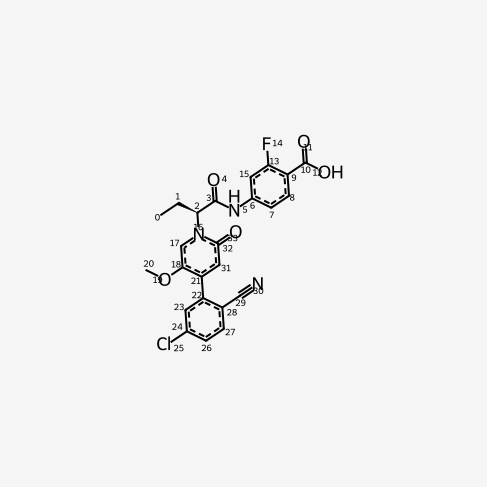 CC[C@@H](C(=O)Nc1ccc(C(=O)O)c(F)c1)n1cc(OC)c(-c2cc(Cl)ccc2C#N)cc1=O